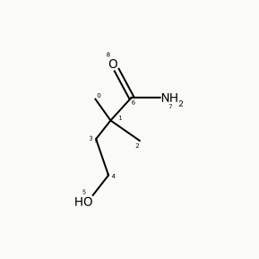 CC(C)([CH]CO)C(N)=O